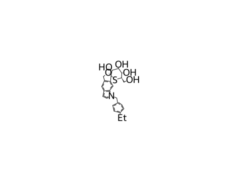 CCc1ccc(Cn2ccc3cc4c(cc32)[C@]2(OC4)S[C@H](CO)[C@@H](O)C(O)[C@H]2O)cc1